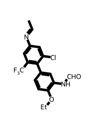 C/C=N/c1cc(Cl)c(-c2ccc(OCC)c(NC=O)c2)c(C(F)(F)F)c1